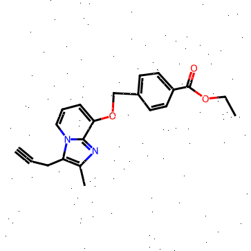 C#CCc1c(C)nc2c(OCc3ccc(C(=O)OCC)cc3)cccn12